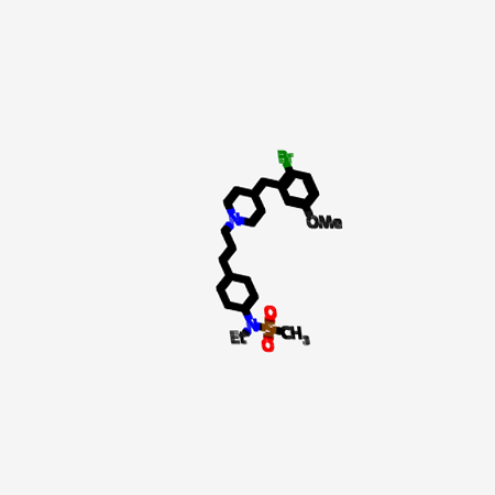 CCN(C1CCC(CCCN2CCC(Cc3cc(OC)ccc3Br)CC2)CC1)S(C)(=O)=O